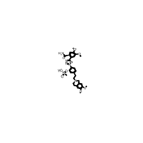 COc1cc2c(cc1OC)CN(CCc1ccc(-n3nnc(-c4cc(OC)c(OC)cc4C(N)=O)n3)cc1)CC2.CS(=O)(=O)O